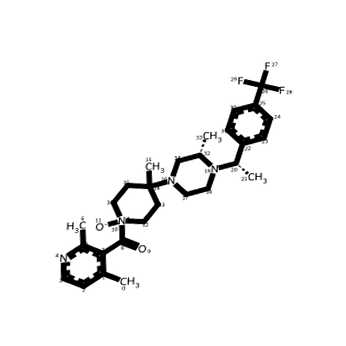 Cc1ccnc(C)c1C(=O)[N+]1([O-])CCC(C)(N2CCN([C@@H](C)c3ccc(C(F)(F)F)cc3)[C@@H](C)C2)CC1